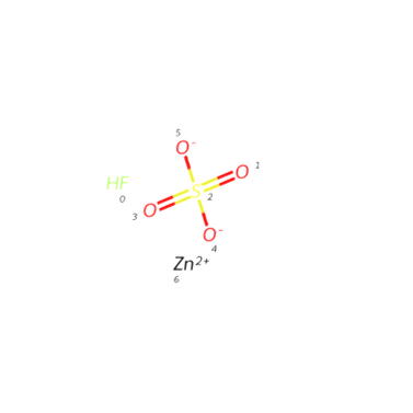 F.O=S(=O)([O-])[O-].[Zn+2]